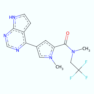 CN(CC(F)(F)F)C(=O)c1cc(-c2ncnc3[nH]ccc23)cn1C